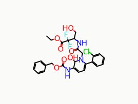 CCOC(=O)C(F)(F)C(CO)NC(=O)CN1C(c2ccccc2Cl)=CC=C(NC(=O)OCc2ccccc2)C1O